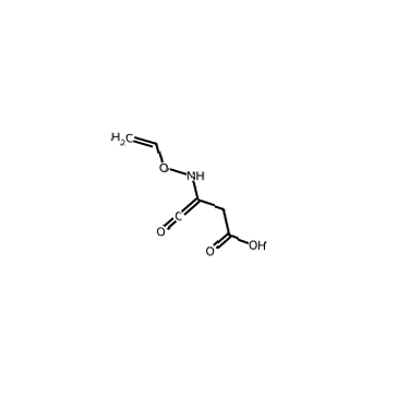 C=CONC(=C=O)CC(=O)O